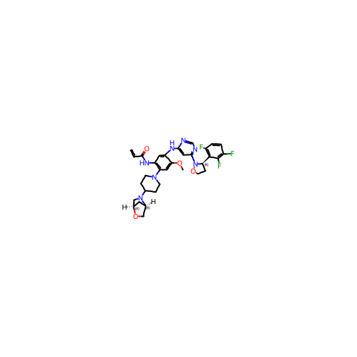 C=CC(=O)Nc1cc(Nc2cc(N3OCC[C@@H]3c3c(F)ccc(F)c3F)ncn2)c(OC)cc1N1CCC(N2C[C@H]3C[C@@H]2CO3)CC1